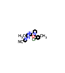 Cc1ccc(Cl)c(C(=O)N2CCCC[C@H]2c2cc3nc(N4CC[C@H](C#N)C4)c(C)cn3n2)c1